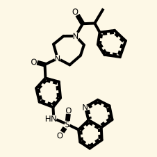 CC(C(=O)N1CCCN(C(=O)c2ccc(NS(=O)(=O)c3cccc4cccnc34)cc2)CC1)c1ccccc1